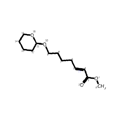 COC(=O)/C=C/CCCCOC1CCCCO1